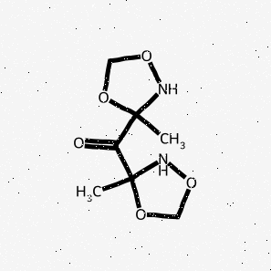 CC1(C(=O)C2(C)NOCO2)NOCO1